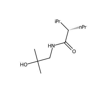 CCC[C@H](C(=O)NCC(C)(C)O)C(C)C